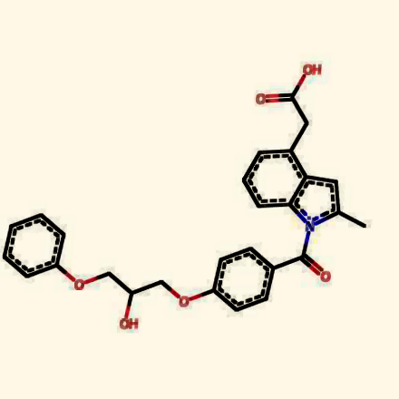 Cc1cc2c(CC(=O)O)cccc2n1C(=O)c1ccc(OCC(O)COc2ccccc2)cc1